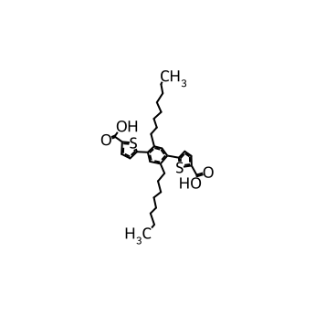 CCCCCCCCc1cc(-c2ccc(C(=O)O)s2)c(CCCCCCCC)cc1-c1ccc(C(=O)O)s1